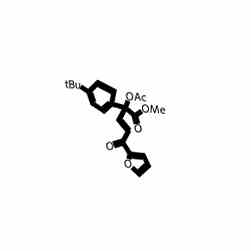 COC(=O)C(/C=C/C(=O)c1ccco1)(OC(C)=O)c1ccc(C(C)(C)C)cc1